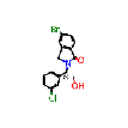 O=C1c2ccc(Br)cc2CN1[C@H](CO)c1cccc(Cl)c1